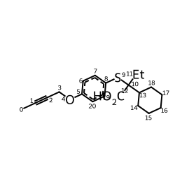 CC#CCOc1ccc(SC(CC)(C(=O)O)C2CCCCC2)cc1